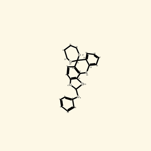 c1ccc(OC2Oc3ccc4c(c3O2)Sc2ccccc2C42OCCCCO2)cc1